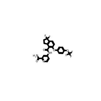 NC(=O)c1cc(NC(=O)c2c(Oc3ccc(OC(F)(F)F)cc3)ccc3c2CCC3(F)F)ccn1